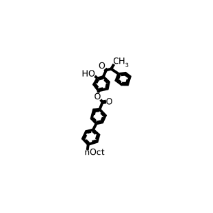 CCCCCCCCc1ccc(-c2ccc(C(=O)Oc3ccc(C(=O)C(C)c4ccccc4)c(O)c3)cc2)cc1